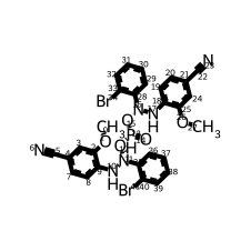 COc1cc(C#N)ccc1NN(O[PH](=O)ON(Nc1ccc(C#N)cc1OC)c1ccccc1Br)c1ccccc1Br